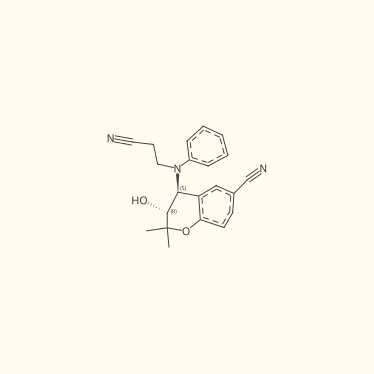 CC1(C)Oc2ccc(C#N)cc2[C@H](N(CCC#N)c2ccccc2)[C@H]1O